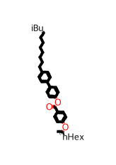 CCCCCC[C@@H](C)Oc1ccc(C(=O)Oc2ccc(-c3ccc(CCCCCCCCC(C)CC)cc3)cc2)cc1